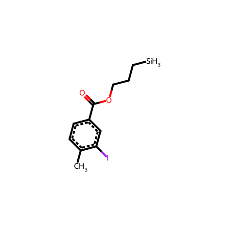 Cc1ccc(C(=O)OCCC[SiH3])cc1I